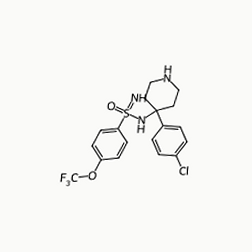 N=S(=O)(NC1(c2ccc(Cl)cc2)CCNCC1)c1ccc(OC(F)(F)F)cc1